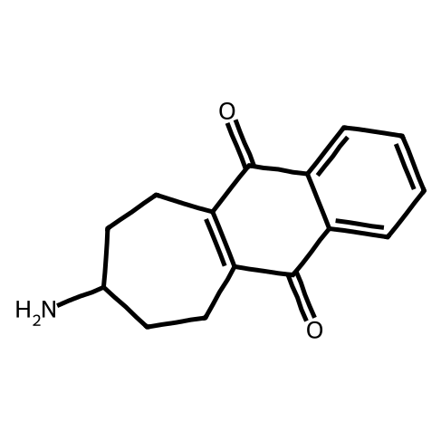 NC1CCC2=C(CC1)C(=O)c1ccccc1C2=O